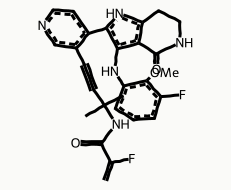 C=C(F)C(=O)NC(C)(C)C#Cc1cnccc1-c1[nH]c2c(c1Nc1cccc(F)c1OC)C(=O)NCC2